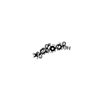 CC(C)(C)OC(=O)N1CCN2C(=O)N(c3ccc(N4CCC(C(=O)O)CC4)cc3F)CC2C1